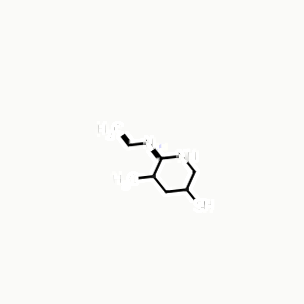 C=C/N=C1/NCC(S)CC1C